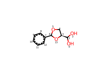 OC(O)[C@@H]1COC(c2ccccc2)O1